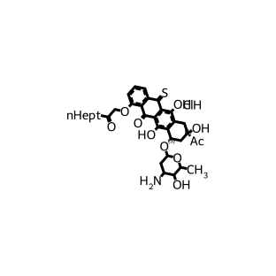 CCCCCCCC(=O)COc1cccc2c1C(=O)c1c(O)c3c(c(O)c1C2=S)C[C@@](O)(C(C)=O)C[C@@H]3OC1CC(N)C(O)C(C)O1.Cl